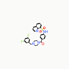 O=C(c1ccc(NS(=O)(=O)c2cccc3cccnc23)cc1)N1CCN(Cc2cc(F)cc(F)c2)CC1